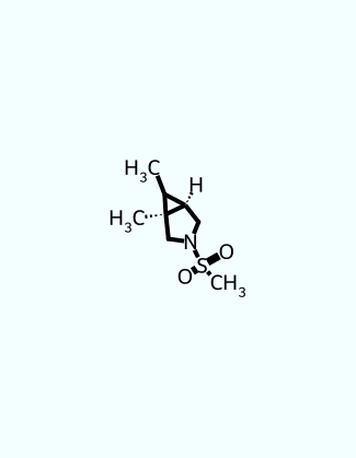 CC1[C@H]2CN(S(C)(=O)=O)C[C@@]12C